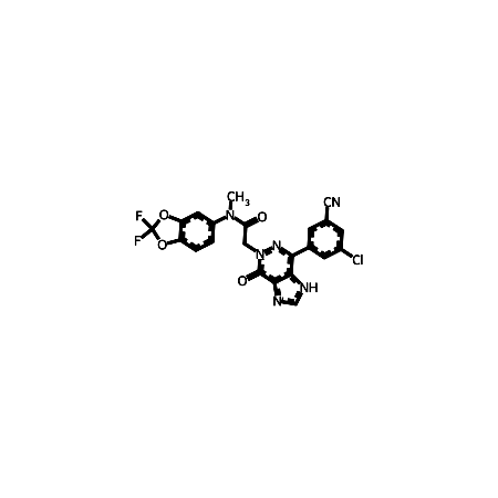 CN(C(=O)Cn1nc(-c2cc(Cl)cc(C#N)c2)c2[nH]cnc2c1=O)c1ccc2c(c1)OC(F)(F)O2